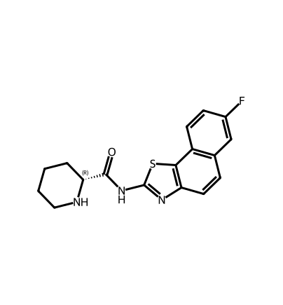 O=C(Nc1nc2ccc3cc(F)ccc3c2s1)[C@H]1CCCCN1